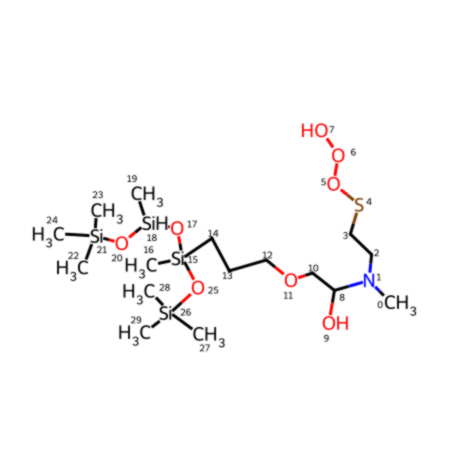 CN(CCSOOO)C(O)COCCC[Si](C)(O[SiH](C)O[Si](C)(C)C)O[Si](C)(C)C